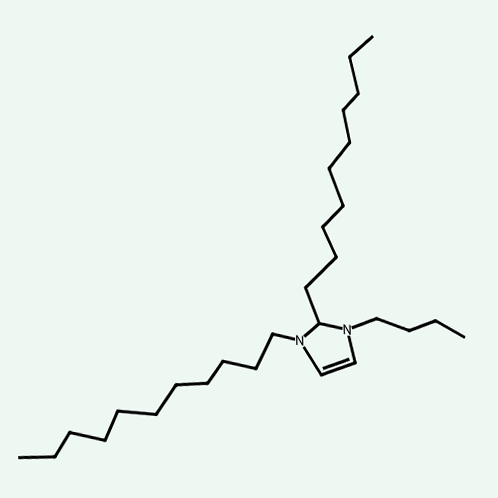 CCCCCCCCCCCN1C=CN(CCCC)C1CCCCCCCCCC